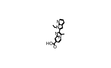 CCn1c(-c2nc3cc(C(=O)O)ccn3c2C)cc2cccnc21